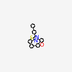 c1ccc(-c2ccc(-c3nc(-c4cccc5oc6ccc(-c7ccccc7)cc6c45)nc4c3sc3ccccc34)cc2)cc1